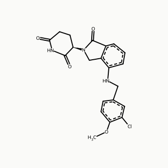 COc1ccc(CNc2cccc3c2CN([C@@H]2CCC(=O)NC2=O)C3=O)cc1Cl